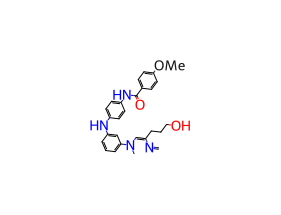 C=N/C(=C\N(C)c1cccc(Nc2ccc(NC(=O)c3ccc(OC)cc3)cc2)c1)CCCO